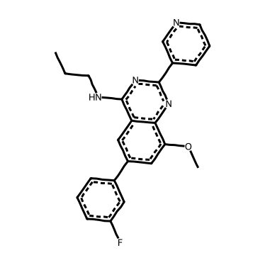 CCCNc1nc(-c2cccnc2)nc2c(OC)cc(-c3cccc(F)c3)cc12